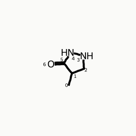 CC1CNNC1=O